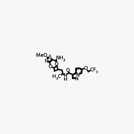 COc1nc(OC2CC(C[C@H](C)NC(=O)c3cnn4cc(OCC(F)(F)F)ccc34)C2)c(C(N)=O)s1